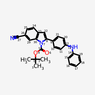 CC(C)(C)OC(=O)n1c(-c2ccc(Nc3ccccc3)cc2)cc2ccc(C#N)cc21